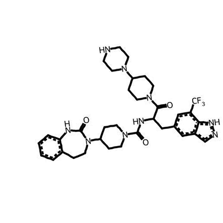 O=C(NC(Cc1cc(C(F)(F)F)c2[nH]ncc2c1)C(=O)N1CCC(N2CCNCC2)CC1)N1CCC(N2CCc3ccccc3NC2=O)CC1